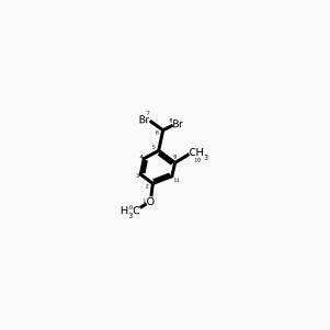 COc1ccc(C(Br)Br)c(C)c1